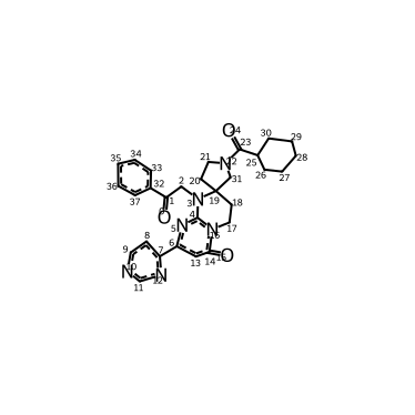 O=C(CN1c2nc(-c3ccncn3)cc(=O)n2CCC12CCN(C(=O)C1CCCCC1)C2)c1ccccc1